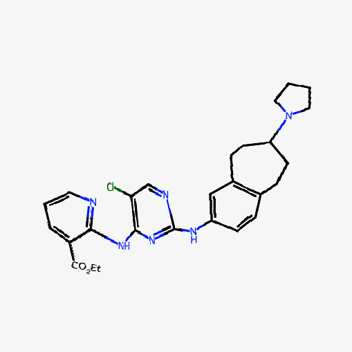 CCOC(=O)c1cccnc1Nc1nc(Nc2ccc3c(c2)CCC(N2CCCC2)CC3)ncc1Cl